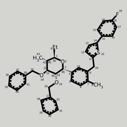 CC[C@H]1O[C@H](c2ccc(C)c(Cc3ccc(-c4ccc(F)cc4)s3)c2)[C@H](OCc2ccccc2)[C@@H](OCc2ccccc2)[C@@H]1C